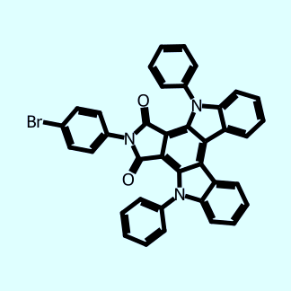 O=C1c2c(c3c(c4ccccc4n3-c3ccccc3)c3c4ccccc4n(-c4ccccc4)c23)C(=O)N1c1ccc(Br)cc1